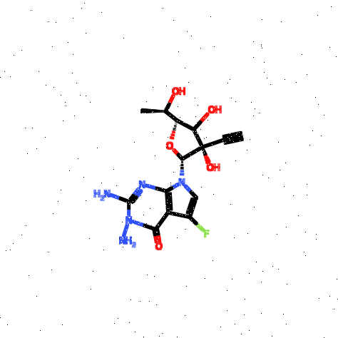 C#C[C@@]1(O)C(O)[C@@H]([C@@H](C)O)O[C@H]1n1cc(F)c2c(=O)n(N)c(N)nc21